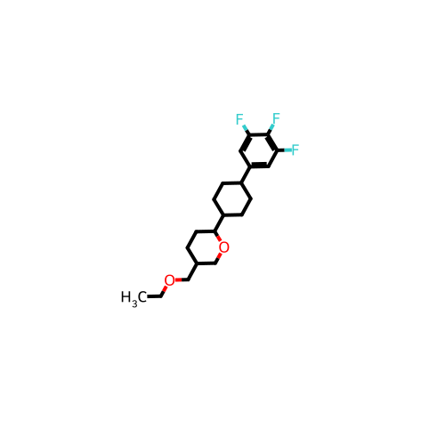 CCOCC1CCC(C2CCC(c3cc(F)c(F)c(F)c3)CC2)OC1